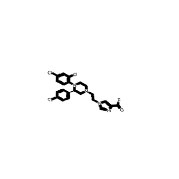 O=C(F)c1cn(CCN2CCN(c3ccc(Cl)cc3Cl)[C@H](c3ccc(Cl)cc3)C2)cn1